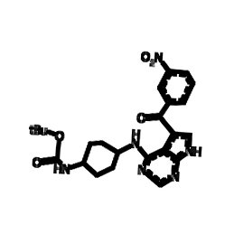 CC(C)(C)OC(=O)NC1CCC(Nc2ncnc3[nH]cc(C(=O)c4cccc([N+](=O)[O-])c4)c23)CC1